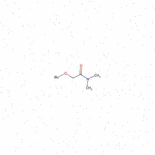 CCC(C)OCC(=O)N(C)C